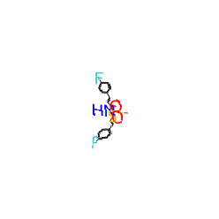 O=C(C=Cc1ccc(F)cc1)N[S+]([O-])C=Cc1ccc(F)cc1